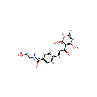 Cc1cc(O)c(C(=O)C=Cc2ccc(C(=O)NCCO)cc2)c(=O)o1